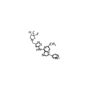 Cc1cn2c(-c3cn[nH]c3)cnc2c(Nc2cc(CN3CCC(C)(F)C3)ns2)n1